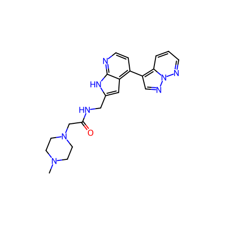 CN1CCN(CC(=O)NCc2cc3c(-c4cnn5ncccc45)ccnc3[nH]2)CC1